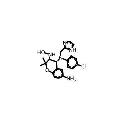 CC1(C)Oc2ccc(N)cc2[C@H](N(Cc2ncc[nH]2)c2ccc(Cl)cc2)C1NO